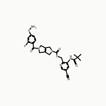 CC(C)(C)C(=O)Nc1cc(C#N)cnc1COC(=O)N1CC2=C(C1)CN(C(=O)c1ccc(SN)cc1F)C2